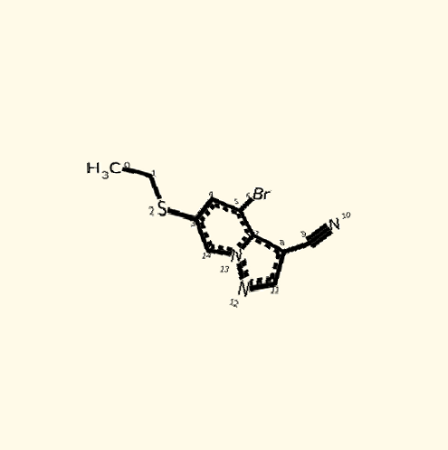 CCSc1cc(Br)c2c(C#N)cnn2c1